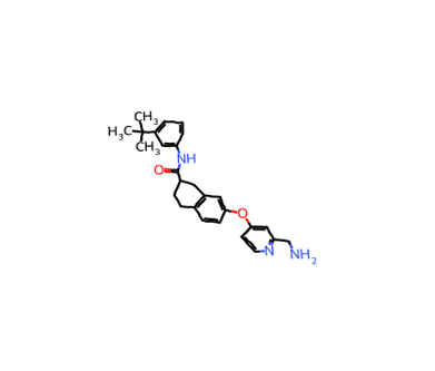 CC(C)(C)c1cccc(NC(=O)C2CCc3ccc(Oc4ccnc(CN)c4)cc3C2)c1